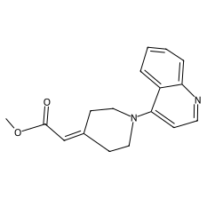 COC(=O)C=C1CCN(c2ccnc3ccccc23)CC1